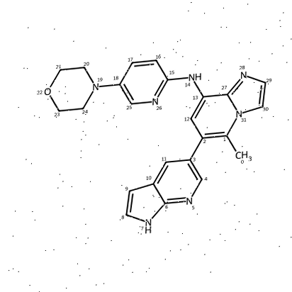 Cc1c(-c2cnc3[nH]ccc3c2)cc(Nc2ccc(N3CCOCC3)cn2)c2nccn12